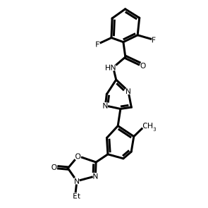 CCn1nc(-c2ccc(C)c(-c3cnc(NC(=O)c4c(F)cccc4F)cn3)c2)oc1=O